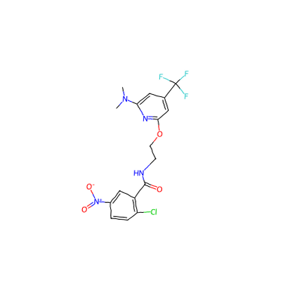 CN(C)c1cc(C(F)(F)F)cc(OCCNC(=O)c2cc([N+](=O)[O-])ccc2Cl)n1